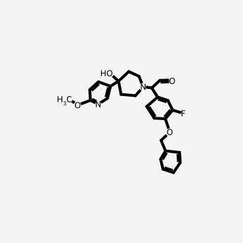 COc1ccc(C2(O)CCN(C(C=O)c3ccc(OCc4ccccc4)c(F)c3)CC2)cn1